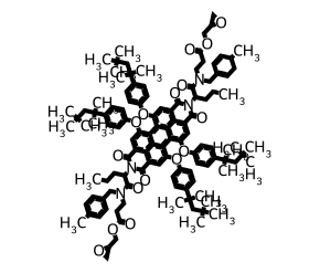 CCCC(C(=O)N(CCC(=O)OCC1CO1)CC1=CCC(C)C=C1)N1C(=O)c2cc(Oc3ccc(C(C)(C)CC(C)(C)C)cc3)c3c4c(Oc5ccc(C(C)(C)CC(C)(C)C)cc5)cc5c6c(cc(Oc7ccc(C(C)(C)CC(C)(C)C)cc7)c(c7c(Oc8ccc(C(C)(C)CC(C)(C)C)cc8)cc(c2c37)C1=O)c64)C(=O)N(C(CCC)C(=O)N(CCC(=O)OCC1CO1)Cc1ccc(C)cc1)C5=O